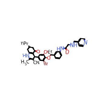 CCCC1CC(=O)C2=C(C1)NC(C)=C(C#N)C2c1cc(Br)c(OCc2cccc(NC(=O)CNCc3ccncc3)c2)c(OCC)c1